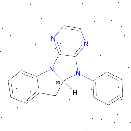 c1ccc(N2c3nccnc3N3c4ccccc4C[C@H]23)cc1